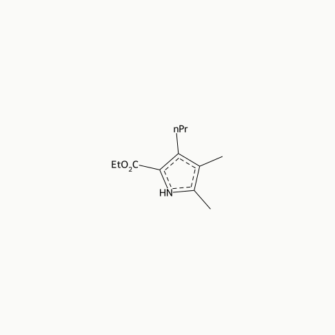 CCCc1c(C(=O)OCC)[nH]c(C)c1C